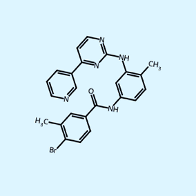 Cc1cc(C(=O)Nc2ccc(C)c(Nc3nccc(-c4cccnc4)n3)c2)ccc1Br